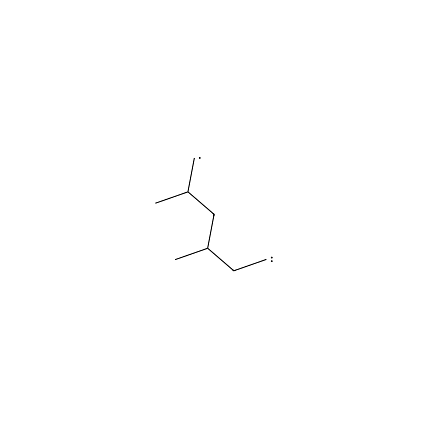 [CH]CC(C)CC([CH2])C